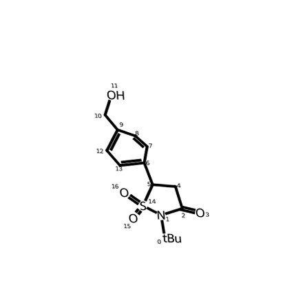 CC(C)(C)N1C(=O)CC(c2ccc(CO)cc2)S1(=O)=O